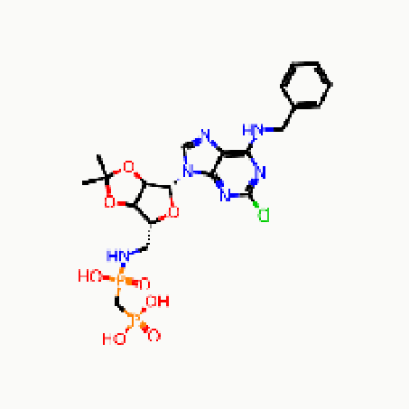 CC1(C)OC2C(O1)[C@@H](CNP(=O)(O)CP(=O)(O)O)O[C@H]2n1cnc2c(NCc3ccccc3)nc(Cl)nc21